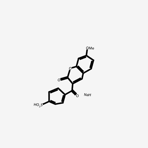 COc1ccc2cc(C(=O)c3ccc(S(=O)(=O)O)cc3)c(=O)oc2c1.[NaH]